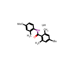 COc1ccc(PC(=O)c2c(C)cc(C(C)(C)C)cc2C)c(C)c1.[LiH]